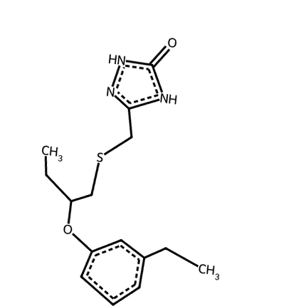 CCc1cccc(OC(CC)CSCc2n[nH]c(=O)[nH]2)c1